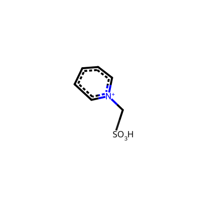 O=S(=O)(O)C[n+]1ccccc1